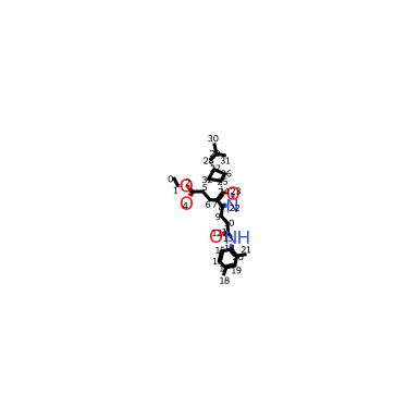 CCOC(=O)CCc1c(CCC(=O)Nc2ccc(C)cc2C)noc1[C@H]1C[C@@H](CC(C)C)C1